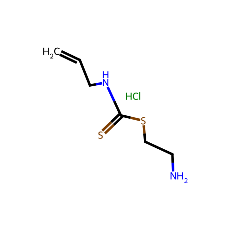 C=CCNC(=S)SCCN.Cl